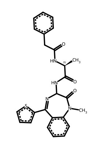 C[C@H](NC(=O)Cc1ccccc1)C(=O)NC1N=C(c2cccs2)c2ccccc2N(C)C1=O